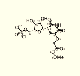 COOC(=O)COc1cn([C@@H]2O[C@H](COP(=O)(Cl)Cl)C(O)[C@@H]2O)c(=O)[nH]c1=O